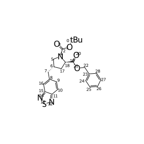 CC(C)(C)OC(=O)N1C[C@@H](Cc2ccc3nsnc3c2)C[C@@H]1C(=O)OCc1ccccc1